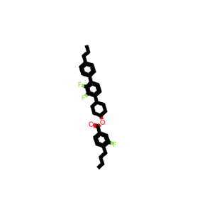 CCCCc1ccc(C(=O)OC2CCC(c3ccc(-c4ccc(CCC)cc4)c(F)c3F)CC2)cc1F